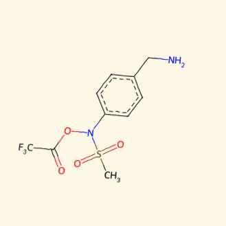 CS(=O)(=O)N(OC(=O)C(F)(F)F)c1ccc(CN)cc1